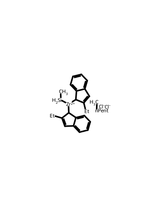 CCC1=Cc2ccccc2[CH]1[Zr+2]([SiH2]C)[CH]1C(CC)=Cc2ccccc21.CCCCCC.[Cl-].[Cl-]